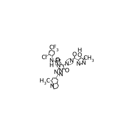 CCc1c(N2CCN(C(=O)c3ncnc(C)c3O)CC2)c(=O)n2nc(-c3cc(C)c4ncccc4c3)nc2n1CC(=O)Nc1ccc(C(F)(F)F)cc1Cl